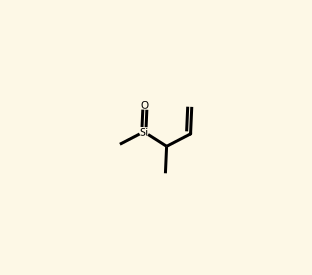 C=CC(C)[Si](C)=O